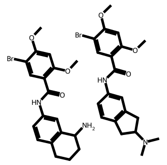 COc1cc(OC)c(C(=O)Nc2ccc3c(c2)C(N)CCC3)cc1Br.COc1cc(OC)c(C(=O)Nc2ccc3c(c2)CC(N(C)C)C3)cc1Br